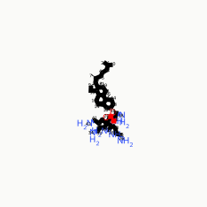 CC(C)CCC[C@@H](C)[C@H]1CCC2C3CC=C4CC(OC(=O)NC(CCCN)(C(N)N)C(CCCN)(CCCN)CCCN)CC[C@]4(C)C3CC[C@@]21C